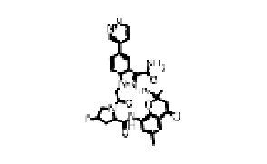 Cc1cc(NC(=O)C2CC(F)CN2C(=O)Cn2nc(C(N)=O)c3cc(-c4ccnnc4)ccc32)c2c(c1)C(=O)CC(C)(C(C)C)O2